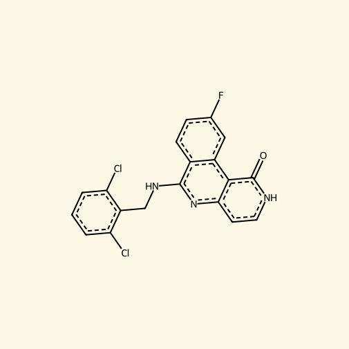 O=c1[nH]ccc2nc(NCc3c(Cl)cccc3Cl)c3ccc(F)cc3c12